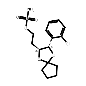 NS(=O)(=O)OCC[C@@H]1OC2(CCCC2)O[C@H]1c1ccccc1Cl